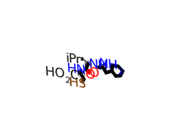 CC(C)C[C@H](NC(=O)[C@@H](N)CC1CCCCC1)C(=O)N[C@@H](CS)C(=O)O